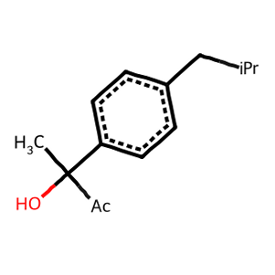 CC(=O)C(C)(O)c1ccc(CC(C)C)cc1